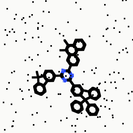 Cc1c(C)c2cc(-c3nc(-c4ccc5c(c4)-c4ccccc4C5(C)C)nc(-c4ccc5c(c4)-c4ccccc4C5(c4ccccc4)c4ccccc4)n3)ccc2c2ccccc12